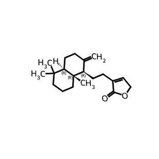 C=C1CC[C@@H]2C(C)(C)CCC[C@@]2(C)[C@@H]1CCC1=CCOC1=O